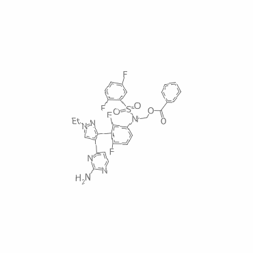 CCn1cc(-c2ccnc(N)n2)c(-c2c(F)ccc(N(COC(=O)c3ccccc3)S(=O)(=O)c3cc(F)ccc3F)c2F)n1